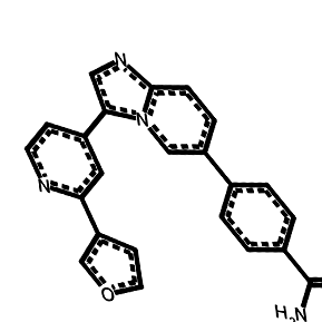 NC(=O)c1ccc(-c2ccc3ncc(-c4ccnc(-c5ccoc5)c4)n3c2)cc1